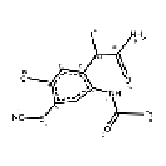 CCC(=O)Nc1cc(SC#N)c(Cl)cc1C(C)C(N)=O